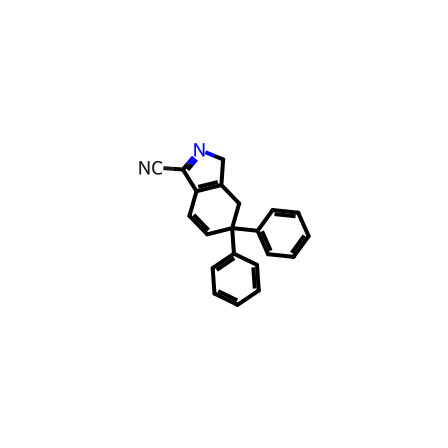 N#CC1=NCC2=C1C=CC(c1ccccc1)(c1ccccc1)C2